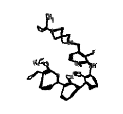 COc1nc(-c2cccc(-c3cccc(Nc4nccc(CN5CC6(C5)CN(C(C)=O)C6)c4F)c3Cl)c2Cl)ccc1C=O